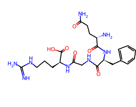 N=C(N)NCCC[C@H](NC(=O)CNC(=O)[C@H](Cc1ccccc1)NC(=O)[C@@H](N)CCC(N)=O)C(=O)O